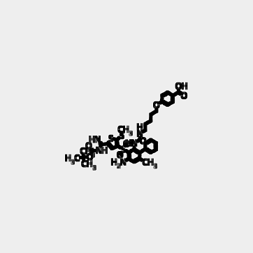 CSc1sc(C(=N)NC(=O)OC(C)(C)C)cc1S(=O)(=O)c1c(N)cc(C)c(-c2ccccc2)c1NC(=O)NCCCCCOc1ccc(C(=O)O)cc1